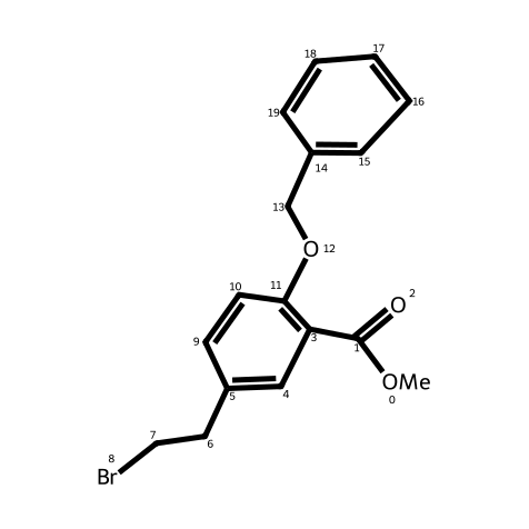 COC(=O)c1cc(CCBr)ccc1OCc1ccccc1